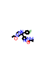 C=CC(=O)N1CCn2nc(-c3ccc(F)cc3)c(-c3ccnc(NC(=O)C4CC4)c3)c2C1